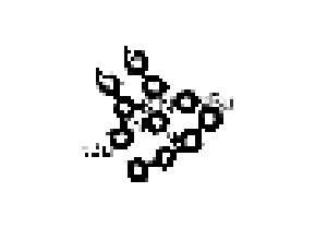 CC(C)(C)c1ccc(N2c3ccc(-c4ccncc4)cc3B3c4c2cc(-n2c5cc(-c6ccccc6)ccc5c5ccc(-c6ccccc6)cc52)cc4-n2c4ccc(C(C)(C)C)cc4c4cc(-c5ccncc5)cc3c42)cc1